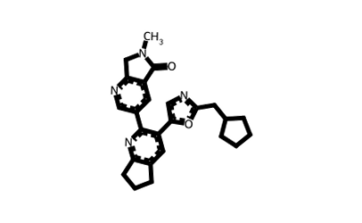 CN1Cc2ncc(-c3nc4c(cc3-c3cnc(CC5CCCC5)o3)CCC4)cc2C1=O